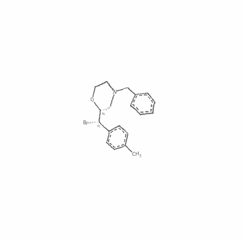 Cc1ccc([C@H](Br)[C@H]2CN(Cc3ccccc3)CCO2)cc1